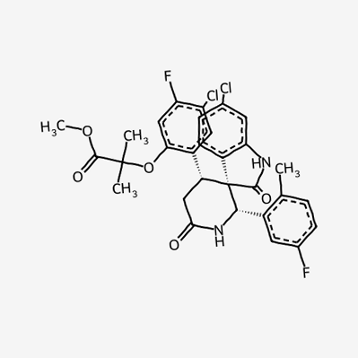 COC(=O)C(C)(C)Oc1cc(F)c(Cl)cc1[C@H]1CC(=O)N[C@@H](c2cc(F)ccc2C)[C@]12C(=O)Nc1cc(Cl)ccc12